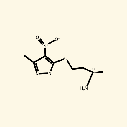 Cc1n[nH]c(OCC[C@@H](C)N)c1[N+](=O)[O-]